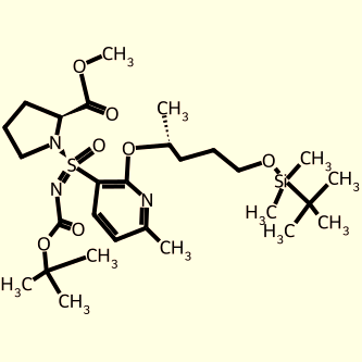 COC(=O)[C@@H]1CCCN1[S@](=O)(=NC(=O)OC(C)(C)C)c1ccc(C)nc1O[C@H](C)CCCO[Si](C)(C)C(C)(C)C